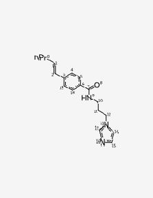 CCC/C=C/c1ccc(C(=O)NCCCn2ccnc2)cc1